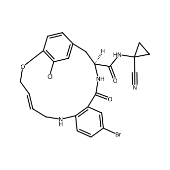 N#CC1(NC(=O)[C@@H]2Cc3ccc(c(Cl)c3)OC/C=C/CNc3ccc(Br)cc3C(=O)N2)CC1